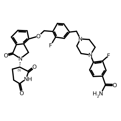 NC(=O)c1ccc(N2CCN(Cc3ccc(COc4cccc5c4CN([C@H]4CCC(=O)NC4=O)C5=O)c(F)c3)CC2)c(F)c1